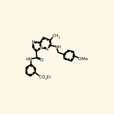 CCOC(=O)c1cccc(NC(=O)c2cnc3cc(C)c(NCc4ccc(OC)cc4)nn23)c1